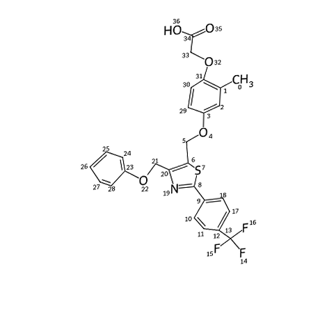 Cc1cc(OCc2sc(-c3ccc(C(F)(F)F)cc3)nc2COc2ccccc2)ccc1OCC(=O)O